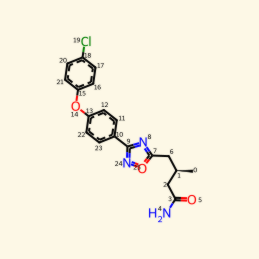 C[C@@H](CC(N)=O)Cc1nc(-c2ccc(Oc3ccc(Cl)cc3)cc2)no1